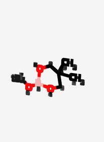 CC1(C)COB(OC(C)(C)C)OC1